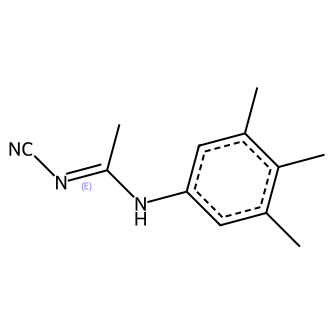 C/C(=N\C#N)Nc1cc(C)c(C)c(C)c1